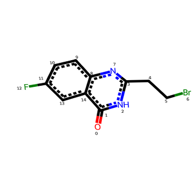 O=c1[nH]c(CCBr)nc2ccc(F)cc12